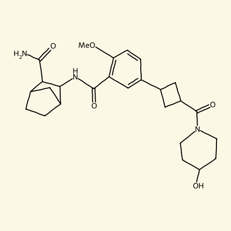 COc1ccc(C2CC(C(=O)N3CCC(O)CC3)C2)cc1C(=O)NC1C2CCC(C2)C1C(N)=O